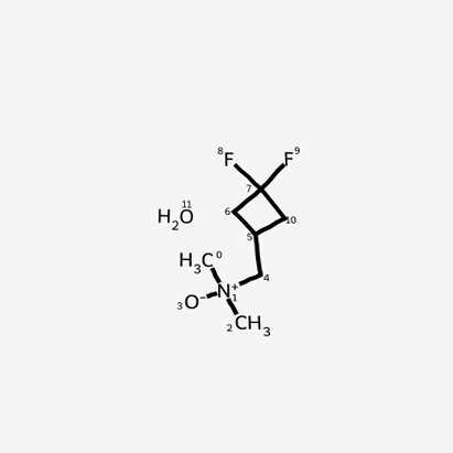 C[N+](C)([O-])CC1CC(F)(F)C1.O